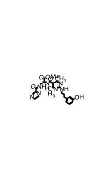 COC(=O)[C@H](CNC(=O)c1cnccn1)NC(=O)c1c(C)nc(NCCCc2cccc(O)c2)nc1C